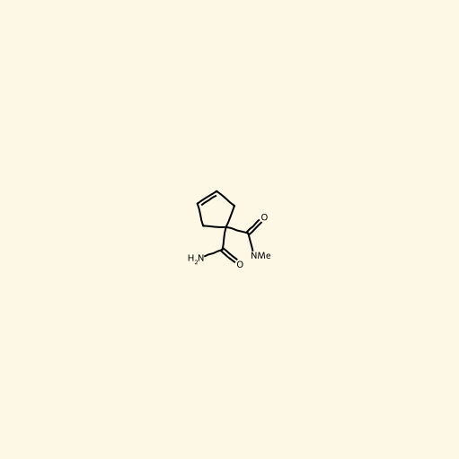 CNC(=O)C1(C(N)=O)CC=CC1